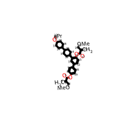 C=C(COC)C(=O)Oc1ccc(-c2ccc(OC(=O)C(=C)COC)c(C3CCC(C4CCC(OCCC)CC4)CC3)c2)cc1